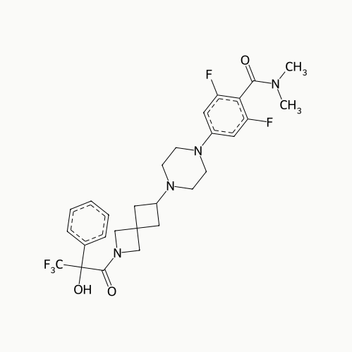 CN(C)C(=O)c1c(F)cc(N2CCN(C3CC4(C3)CN(C(=O)C(O)(c3ccccc3)C(F)(F)F)C4)CC2)cc1F